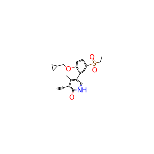 C#Cc1c(C)c(-c2cc(S(=O)(=O)CC)ccc2OCC2CC2)c[nH]c1=O